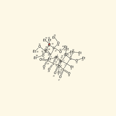 CCO[Si](OCC)(OCC)C(CC)([Si](OCC)(OCC)OCC)S(=O)(=O)S(=O)(=O)S(=O)(=O)S(=O)(=O)C(CC)([Si](OCC)(OCC)OCC)[Si](OCC)(OCC)OCC